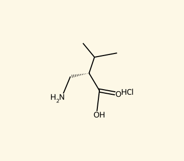 CC(C)[C@@H](CN)C(=O)O.Cl